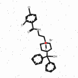 O=C(NCC[N+]12CCC(C(O)(c3ccccc3)c3ccccc3)(CC1)CC2)c1ccc(Cl)cc1Cl.[Br-]